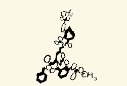 COC(=O)Oc1cccc2c(=O)n(CCCCC(C(=O)OCc3ccccc3)n3c(=O)oc4c(OC(=O)OC)cccc4c3=O)c(=O)oc12